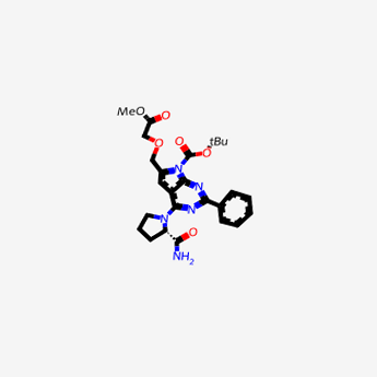 COC(=O)COCc1cc2c(N3CCC[C@H]3C(N)=O)nc(-c3ccccc3)nc2n1C(=O)OC(C)(C)C